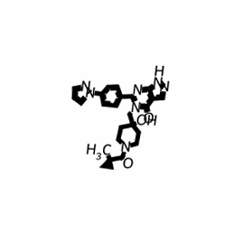 CC1(C(=O)N2CCC(O)(Cn3c(-c4ccc(-n5cccn5)cc4)nc4[nH]ncc4c3=O)CC2)CC1